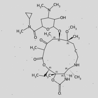 CC[C@H]1OC(=O)C(C)C(=O)[C@H](C)[C@@H](OC2OC(C(=O)N(C)C3CC3)CC(N(C)C)C2O)[C@](C)(OC)CCCN[C@H](C)[C@H]2NC(=O)O[C@@]21C